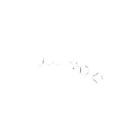 O=C(CCCCCNS(=O)(=O)c1ccc(-c2ccc(Cl)cc2)cc1)NO